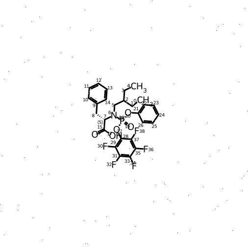 CCC(CC)CN([C@@H](Cc1ccccc1)C(=O)O)[P@](=O)(Oc1ccccc1)Oc1c(F)c(F)c(F)c(F)c1F